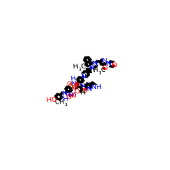 COc1cc(CN2CCN(C3CC4(CCN(c5ccc(C(=O)NS(=O)(=O)c6ccc(NCC7CCC(C)(O)CC7)c([N+](=O)[O-])c6)c(N6c7cc8cc[nH]c8nc7O[C@H]7COCC[C@@H]76)c5)CC4)C3)[C@@]3(C[C@@H](C)c4ccccc43)C2)cnc1N1CCOCC1